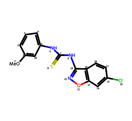 COc1cccc(NC(=S)Nc2noc3cc(Cl)ccc23)c1